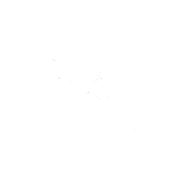 CCC[C@H]1CC[C@H](c2ncc(COCC)cn2)CC1